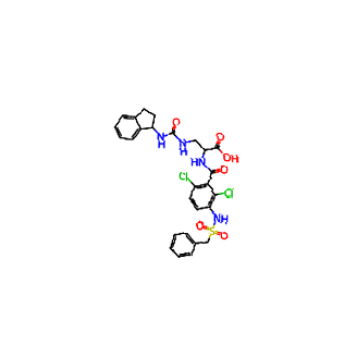 O=C(NCC(NC(=O)c1c(Cl)ccc(NS(=O)(=O)Cc2ccccc2)c1Cl)C(=O)O)NC1CCc2ccccc21